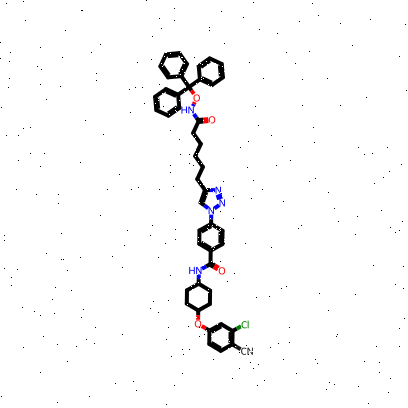 N#Cc1ccc(OC2CCC(NC(=O)c3ccc(-n4cc(CCCCCC(=O)NOC(c5ccccc5)(c5ccccc5)c5ccccc5)nn4)cc3)CC2)cc1Cl